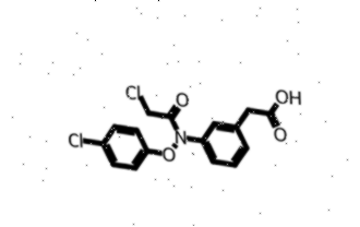 O=C(O)Cc1cccc(N(Oc2ccc(Cl)cc2)C(=O)CCl)c1